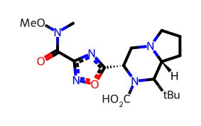 CON(C)C(=O)c1noc([C@@H]2CN3CCC[C@@H]3C(C(C)(C)C)N2C(=O)O)n1